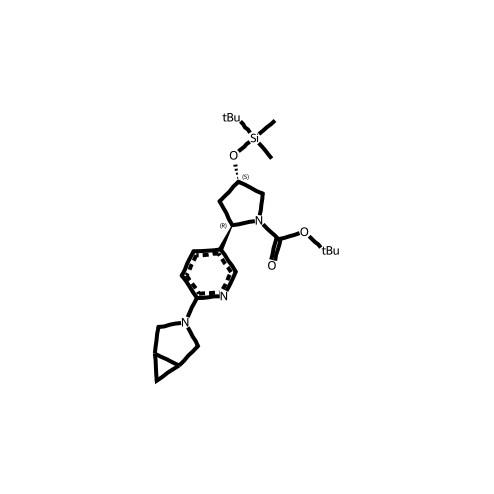 CC(C)(C)OC(=O)N1C[C@@H](O[Si](C)(C)C(C)(C)C)C[C@@H]1c1ccc(N2CC3CC3C2)nc1